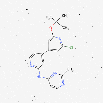 Cc1nccc(Nc2cc(-c3cc(Cl)nc(OC(C)(C)C)c3)ccn2)n1